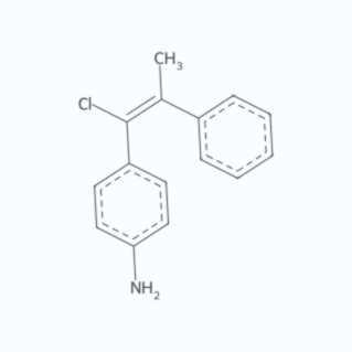 CC(=C(Cl)c1ccc(N)cc1)c1ccccc1